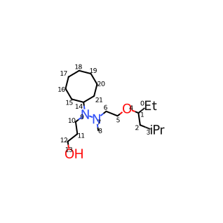 CCC(CC(C)C)OCCN(C)N(CCCO)C1CCCCCCC1